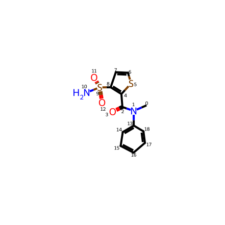 CN(C(=O)c1sccc1S(N)(=O)=O)c1ccccc1